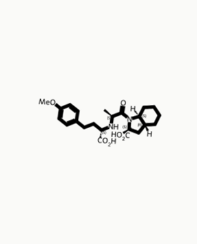 COc1ccc(CC[C@H](N[C@@H](C)C(=O)N2[C@H](C(=O)O)C[C@H]3CCCC[C@@H]32)C(=O)O)cc1